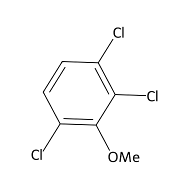 COc1c(Cl)ccc(Cl)c1Cl